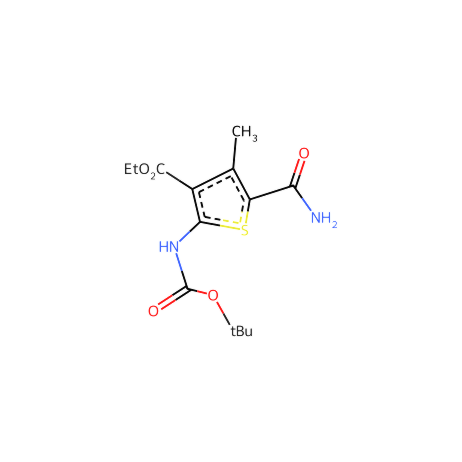 CCOC(=O)c1c(NC(=O)OC(C)(C)C)sc(C(N)=O)c1C